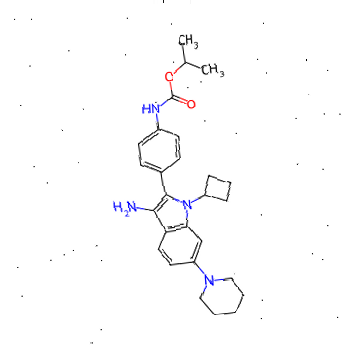 CC(C)OC(=O)Nc1ccc(-c2c(N)c3ccc(N4CCCCC4)cc3n2C2CCC2)cc1